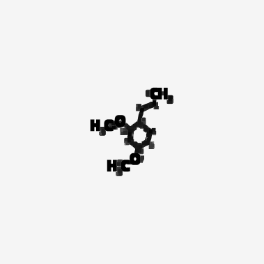 CC=Cc1ccc(OC)cc1OC